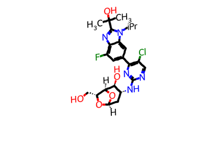 CC(C)n1c(C(C)(C)O)nc2c(F)cc(-c3nc(N[C@@H]4C[C@@H]5O[C@H]([C@H]4O)[C@@H](CO)O5)ncc3Cl)cc21